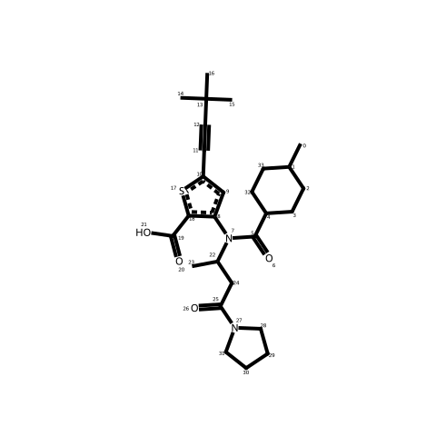 CC1CCC(C(=O)N(c2cc(C#CC(C)(C)C)sc2C(=O)O)C(C)CC(=O)N2CCCC2)CC1